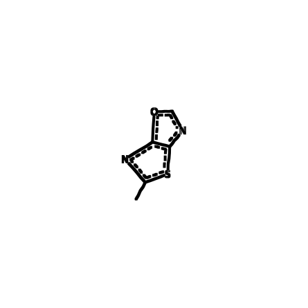 Cc1nc2ocnc2s1